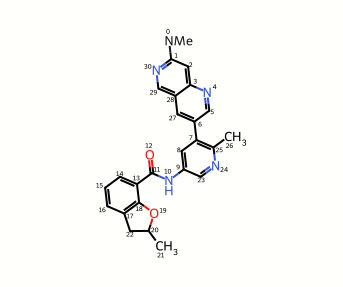 CNc1cc2ncc(-c3cc(NC(=O)c4cccc5c4OC(C)C5)cnc3C)cc2cn1